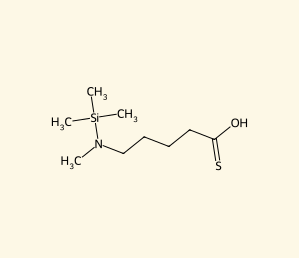 CN(CCCCC(O)=S)[Si](C)(C)C